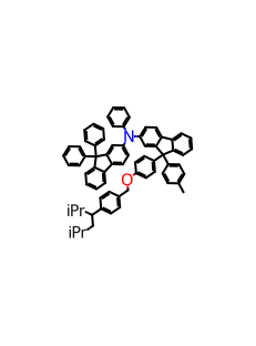 Cc1ccc(C2(c3ccc(OCc4ccc(C(CC(C)C)C(C)C)cc4)cc3)c3ccccc3-c3ccc(N(c4ccccc4)c4ccc5c(c4)C(c4ccccc4)(c4ccccc4)c4ccccc4-5)cc32)cc1